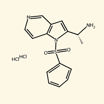 C[C@@H](N)c1cc2cnccc2n1S(=O)(=O)c1ccccc1.Cl.Cl